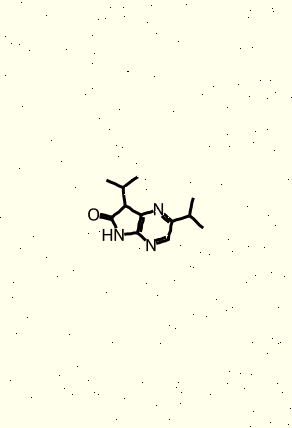 CC(C)c1cnc2c(n1)C(C(C)C)C(=O)N2